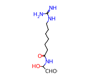 N=C(N)NCCCCCCC(=O)NC(O)[C]=O